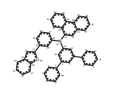 c1ccc(-c2cc(-c3ccccc3)cc(N(c3cccc(-c4cc5ccccc5o4)c3)c3cc4ccccc4c4ccccc34)c2)cc1